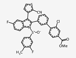 COC(=O)c1ccc(-c2cccc(-c3c(-c4ccsc4C#N)c4cc(F)ccc4n3[S+]([O-])c3ccc(C)c(F)c3)c2)c(Cl)c1